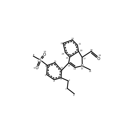 CCCc1ccc(S(C)(=O)=O)cc1C1=CN(C)C(C=O)c2ccccc21